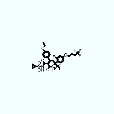 CCOc1ccc(C2=C(C(=O)NS(=O)(=O)C3CC3)C(=O)NC(c3ccc(OCCCC(F)(F)F)cc3F)(C(F)(F)F)C2)cc1